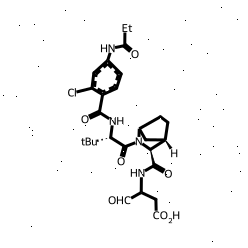 CCC(=O)Nc1ccc(C(=O)N[C@H](C(=O)N2C3CC[C@@H](C3)[C@H]2C(=O)NC(C=O)CC(=O)O)C(C)(C)C)c(Cl)c1